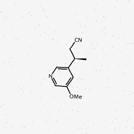 COc1cncc([C@H](C)CC#N)c1